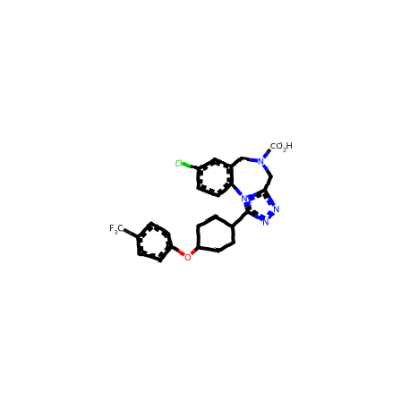 O=C(O)N1Cc2cc(Cl)ccc2-n2c(nnc2C2CCC(Oc3ccc(C(F)(F)F)cc3)CC2)C1